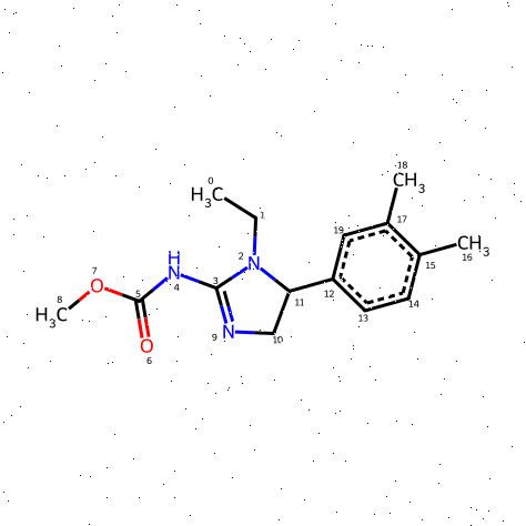 CCN1C(NC(=O)OC)=NCC1c1ccc(C)c(C)c1